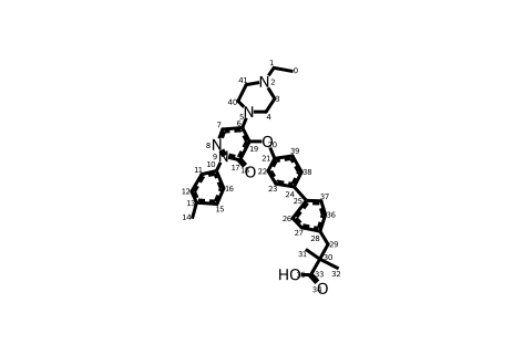 CCN1CCN(c2cnn(-c3ccc(C)cc3)c(=O)c2Oc2ccc(-c3ccc(CC(C)(C)C(=O)O)cc3)cc2)CC1